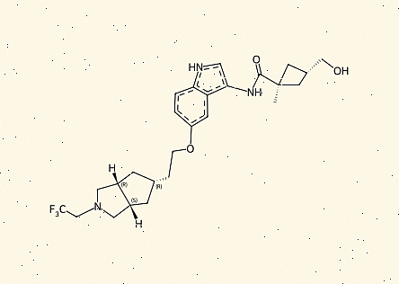 C[C@]1(C(=O)Nc2c[nH]c3ccc(OCC[C@@H]4C[C@@H]5CN(CC(F)(F)F)C[C@@H]5C4)cc23)C[C@H](CO)C1